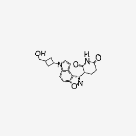 O=C1CCC(c2noc3ccc4c(ccn4C4CC(CO)C4)c23)C(=O)N1